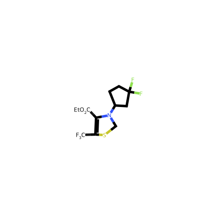 CCOC(=O)C1=C(C(F)(F)F)SCN1C1CCC(F)(F)C1